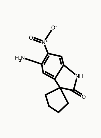 Nc1cc2c(cc1[N+](=O)[O-])NC(=O)C21CCCC1